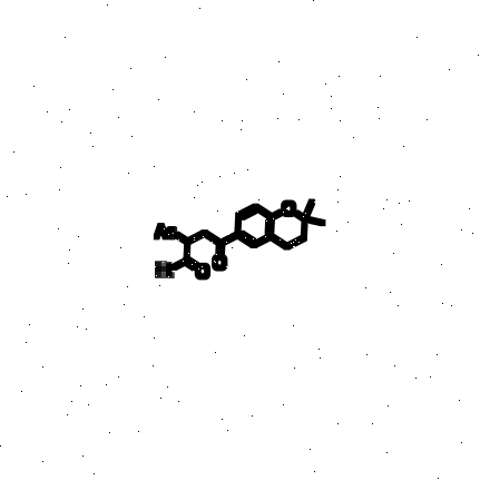 CCC(=O)C(CC(=O)c1ccc2c(c1)CCC(C)(C)O2)C(C)=O